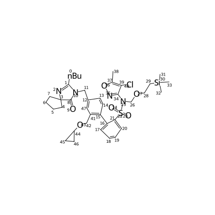 CCCCC1=NC2(CCCC2)C(=O)N1Cc1ccc(-c2ccccc2S(=O)(=O)N(COCC[Si](C)(C)C)c2noc(C)c2Cl)c(COC2CC2)c1